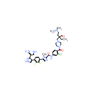 CCC(C=O)(CCN(C)C)CN1CCN(C(=O)c2ccc(NC(=O)c3ncc(-c4ccc(-c5c[nH]nc5/C(C=N)=C/N)c(F)c4F)n3C)cc2Cl)CC1